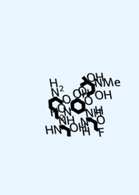 CN[C@@H]1C(O)[C@@H](OC2C(O)C(O[C@H]3OC(CNC(=N)C(C)O)CCC3N)[C@@H](N)C[C@H]2NC(=N)C(O)CF)OCC1(C)O